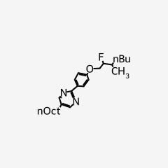 CCCCCCCCc1cnc(-c2ccc(OCC(F)C(C)CCCC)cc2)nc1